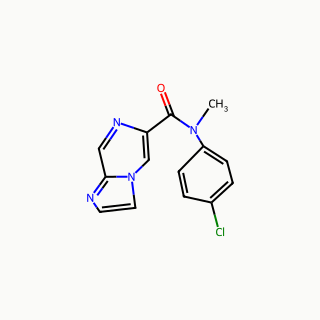 CN(C(=O)c1cn2ccnc2cn1)c1ccc(Cl)cc1